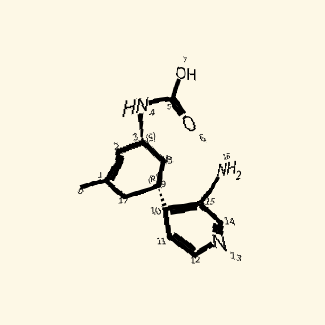 CC1=C[C@@H](NC(=O)O)C[C@H](c2ccncc2N)C1